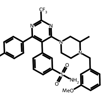 COc1cccc(CN2CCN(c3nc(C(F)(F)F)nc(-c4ccc(F)cc4)c3-c3cccc(S(N)(=O)=O)c3)CC2C)c1